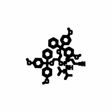 COc1ccc(C(OCC(COC(c2ccccc2)(c2ccc(OC)cc2)c2ccc(OC)cc2)OP(NN(C(C)C)C(C)C)OCCC#N)(c2ccccc2)c2ccc(OC)cc2)cc1